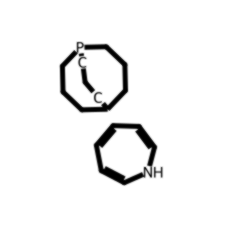 C1=CC=CNC=C1.C1CC2CCCP(C1)CCC2